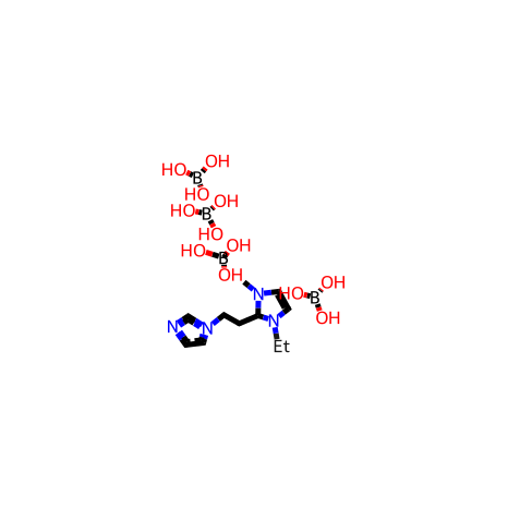 CCN1C=CN(C)C1CCn1ccnc1.OB(O)O.OB(O)O.OB(O)O.OB(O)O